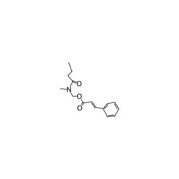 CCCC(=O)N(C)COC(=O)/C=C/c1ccccc1